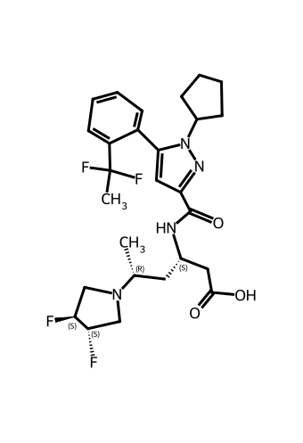 C[C@H](C[C@@H](CC(=O)O)NC(=O)c1cc(-c2ccccc2C(C)(F)F)n(C2CCCC2)n1)N1C[C@H](F)[C@@H](F)C1